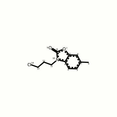 Cc1ccc2c(c1)oc(=O)n2CCCCl